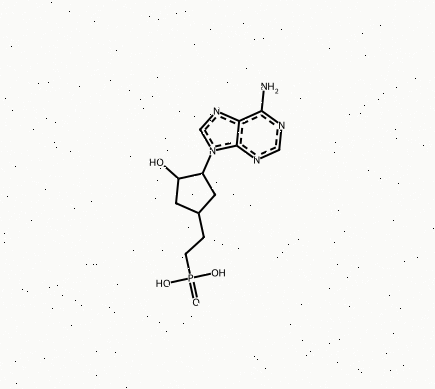 Nc1ncnc2c1ncn2C1CC(CCP(=O)(O)O)CC1O